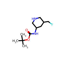 CC(C)(C)OC(=O)NC1CNCC(CF)C1